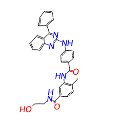 Cc1ccc(C(=O)NCCO)cc1NC(=O)c1ccc(Nc2nc(-c3ccccc3)c3ccccc3n2)cc1